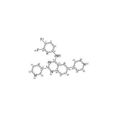 Fc1ccc(Nc2nc(-c3cccnc3)nc3ccc(-c4ccncc4)cc23)cc1F